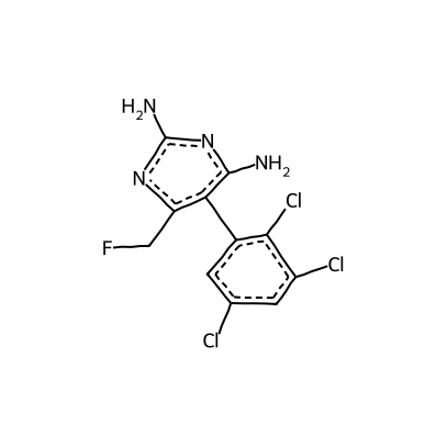 Nc1nc(N)c(-c2cc(Cl)cc(Cl)c2Cl)c(CF)n1